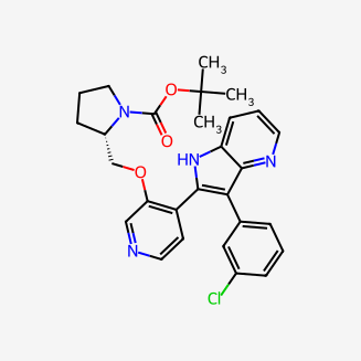 CC(C)(C)OC(=O)N1CCC[C@H]1COc1cnccc1-c1[nH]c2cccnc2c1-c1cccc(Cl)c1